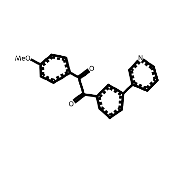 COc1ccc(C(=O)C(=O)c2cccc(-c3cccnc3)c2)cc1